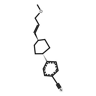 COC/C=C/[C@H]1CC[C@H](c2ccc(C#N)cc2)CC1